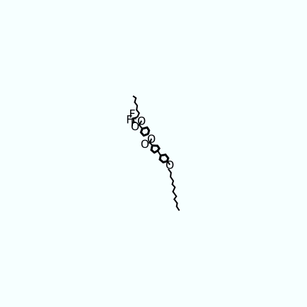 CCCCCCCCCCCCOc1ccc(-c2ccc(C(=O)Oc3ccc(C(=O)OC(CCCCCC)C(F)(F)F)cc3)cc2)cc1